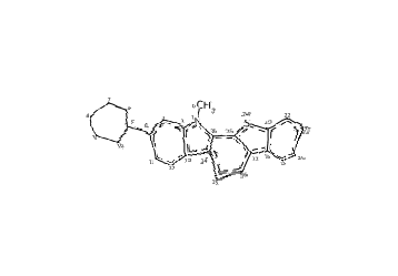 Cn1c2cc(C3CCCCC3)ccc2c2ccc3c4ccccc4sc3c21